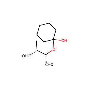 C[C@@H](C=O)[C@@H](C=O)OC1(O)CCCCC1